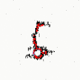 CO[C@H]1C[C@@H]2CC[C@@H](C)[C@@](O)(O2)C(=O)C(=O)N2CCCC[C@H]2C(=O)O[C@H]([C@H](C)C[C@@H]2CC[C@@H](O)[C@H](OC)C2)C[C@@H](O)[C@H](C)/C=C(\C)[C@@H](O)[C@@H](OC)/C(=N/OCC(=O)N2CCc3nc(N4CCN(c5ncc(C(=O)NCCOCCC(=O)N6CCc7cc(Cn8nc(-c9ccc%10oc(N)nc%10c9)c9c(N)ncnc98)ccc7C6)cn5)CC4)ncc3C2)[C@H](C)C[C@H](C)/C=C/C=C/C=C/1C